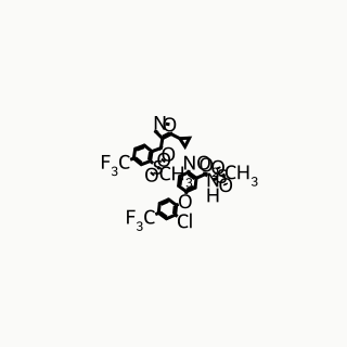 CS(=O)(=O)NC(=O)c1cc(Oc2ccc(C(F)(F)F)cc2Cl)ccc1[N+](=O)[O-].CS(=O)(=O)c1cc(C(F)(F)F)ccc1C(=O)c1cnoc1C1CC1